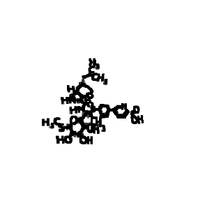 CS[C@H]1O[C@H]([C@H](NC(=O)[C@H]2NC[C@@H]3C[C@H](CC(C)C)CCO[C@H]32)[C@H](C)Sc2ccc(-c3cccnc3)cc2)[C@H](O)[C@H](O)[C@H]1O.O=CO